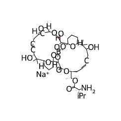 CC(C)[C@@H](N)C(=O)O[C@H](C)[C@@H]1C/C=C\CC[C@H](O)C(C)(C)[C@@H]2CC[C@@H](C)[C@]3(O2)O[B-]24O[C@@H](C(=O)O1)[C@@]1(O[C@@H](CC[C@H]1C)C(C)(C)[C@H](O)CCC[C@@H]1C[C@H](OC(=O)[C@@H]3O2)[C@@H](C)O1)O4.[Na+]